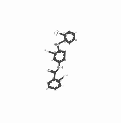 O=C(Nc1ccc(Nc2ccccc2C(F)(F)F)c(F)c1)c1ccccc1F